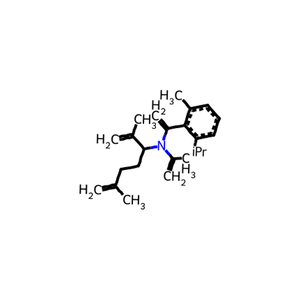 C=C(C)CCC(C(=C)C)N(C(=C)C)C(=C)c1c(C)cccc1C(C)C